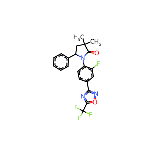 CC1(C)CC(c2ccccc2)N(c2ccc(-c3noc(C(F)(F)F)n3)cc2F)C1=O